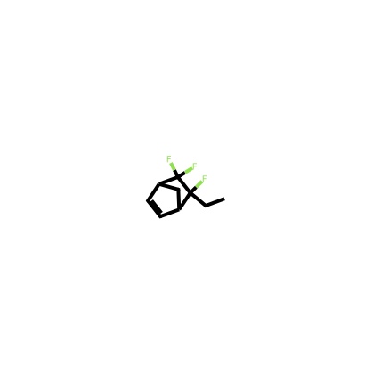 CCC1(F)C2C=CC(C2)C1(F)F